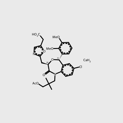 COc1cccc([C@H]2O[C@H](Cc3ncc(CC(=O)O)o3)C(=O)N(CC(C)(C)COC(C)=O)c3ccc(Cl)cc32)c1OC.[CaH2]